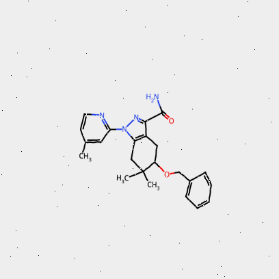 Cc1ccnc(-n2nc(C(N)=O)c3c2CC(C)(C)C(OCc2ccccc2)C3)c1